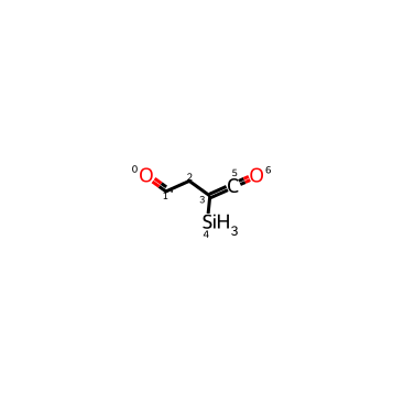 O=[C]CC([SiH3])=C=O